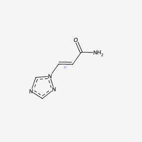 NC(=O)/C=C/n1cncn1